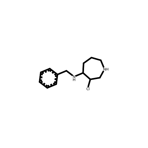 ClC1CNCCCC1NCc1ccccc1